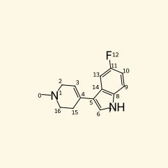 CN1CC=C(c2c[nH]c3ccc(F)cc23)CC1